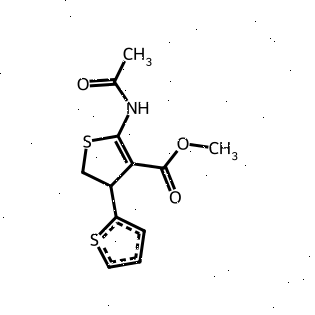 COC(=O)C1=C(NC(C)=O)SCC1c1cccs1